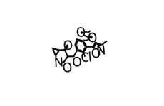 Cc1cc(-c2c(S(C)(=O)=O)ccc(C(=O)C3C(=O)C4CC4N(C)C3=O)c2Cl)on1